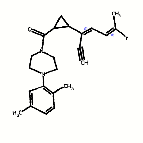 C#C/C(=C\C=C(/C)F)C1CC1C(=O)N1CCN(c2cc(C)ccc2C)CC1